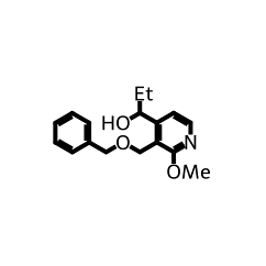 CCC(O)c1ccnc(OC)c1COCc1ccccc1